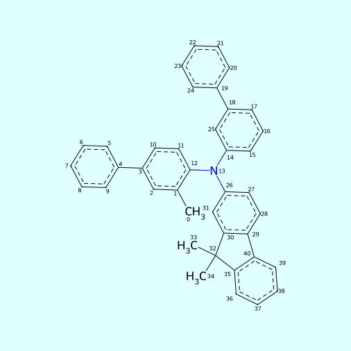 Cc1cc(-c2ccccc2)ccc1N(c1cccc(-c2ccccc2)c1)c1ccc2c(c1)C(C)(C)c1ccccc1-2